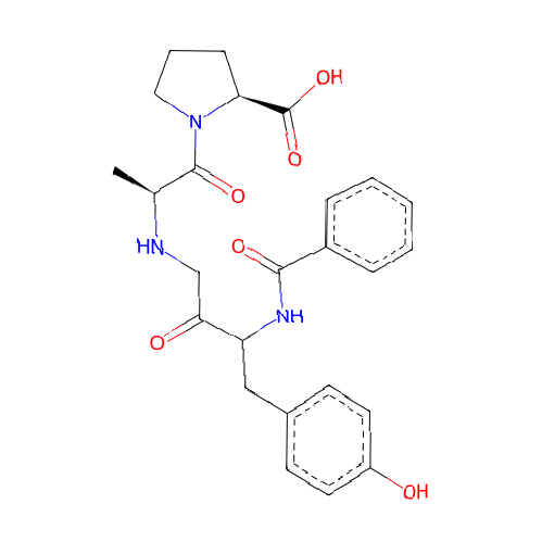 C[C@H](NCC(=O)C(Cc1ccc(O)cc1)NC(=O)c1ccccc1)C(=O)N1CCC[C@H]1C(=O)O